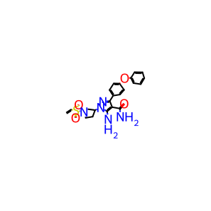 C=CS(=O)(=O)N1CCC(n2nc(-c3ccc(Oc4ccccc4)cc3)c(C(N)=O)c2N)C1